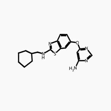 Nc1cc(Oc2ccc3nc(NCC4CCCCC4)sc3c2)ncn1